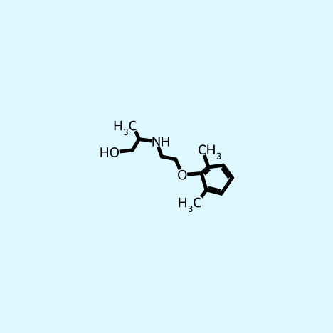 Cc1cccc(C)c1OCCNC(C)CO